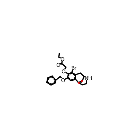 CCOC(=O)COc1c(OCc2ccccc2)cc2c(c1Br)CC1NCCC23CCCCC13